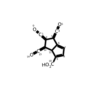 O=C=C1C(=C=O)C2=CC=C(C(=O)O)C2C1=C=O